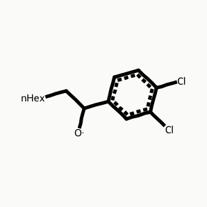 CCCCCCCC([O])c1ccc(Cl)c(Cl)c1